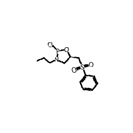 CCCN1C[C@H](CS(=O)(=O)c2ccccc2)OP1Cl